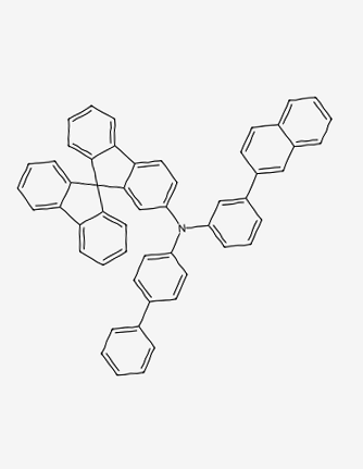 c1ccc(-c2ccc(N(c3cccc(-c4ccc5ccccc5c4)c3)c3ccc4c(c3)C3(c5ccccc5-c5ccccc53)c3ccccc3-4)cc2)cc1